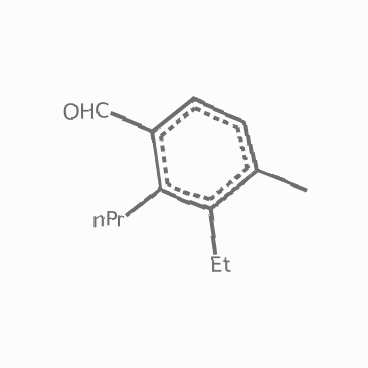 CCCc1c(C=O)ccc(C)c1CC